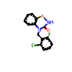 O=C1NSc2ccccc2N1Cc1c(F)cccc1F